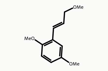 [CH2]OC/C=C/c1cc(OC)ccc1OC